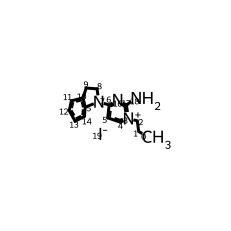 CCC[n+]1ccc(N2CCc3ccccc32)nc1N.[I-]